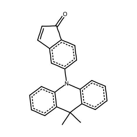 CC1(C)c2ccccc2N(c2ccc3c(c2)C=CC3=O)c2ccccc21